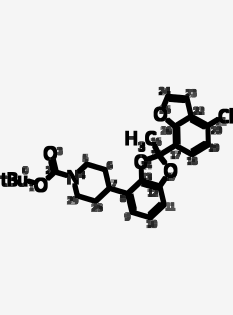 CC(C)(C)OC(=O)N1CCC(c2cccc3c2OC(C)(c2ccc(Cl)c4ccoc24)O3)CC1